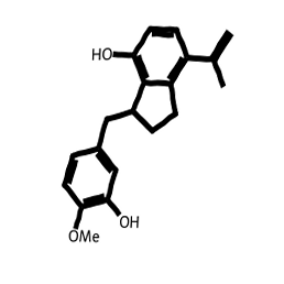 C=C(C)c1ccc(O)c2c1CCC2Cc1ccc(OC)c(O)c1